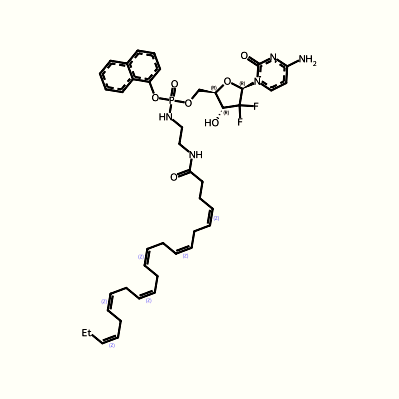 CC/C=C\C/C=C\C/C=C\C/C=C\C/C=C\C/C=C\CCC(=O)NCCNP(=O)(OC[C@H]1O[C@@H](n2ccc(N)nc2=O)C(F)(F)[C@@H]1O)Oc1cccc2ccccc12